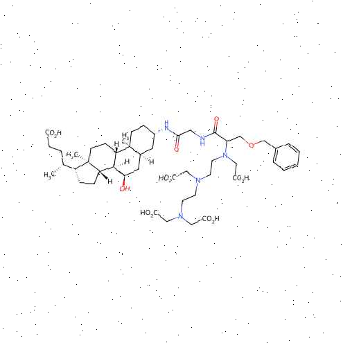 C[C@H](CCC(=O)O)[C@H]1CC[C@H]2[C@@H]3[C@H](O)C[C@@H]4C[C@@H](NC(=O)CNC(=O)C(COCc5ccccc5)N(CCN(CCN(CC(=O)O)CC(=O)O)CC(=O)O)CC(=O)O)CC[C@]4(C)[C@H]3CC[C@]12C